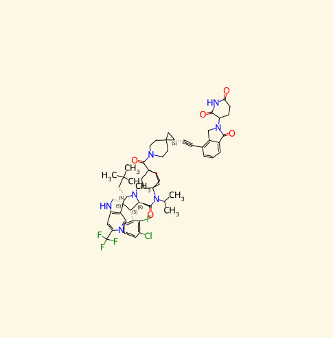 CC(C)N(C(=O)[C@H]1[C@H](c2cccc(Cl)c2F)[C@]2(CNc3cc(C(F)(F)F)ncc32)[C@H](CC(C)(C)C)N1C)C12CCC(C(=O)N3CCC4(CC3)C[C@@H]4C#Cc3cccc4c3CN(C3CCC(=O)NC3=O)C4=O)(CC1)CC2